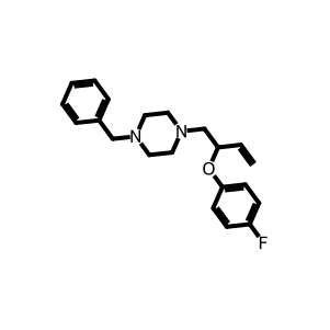 C=CC(CN1CCN(Cc2ccccc2)CC1)Oc1ccc(F)cc1